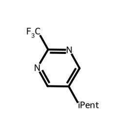 CCCC(C)c1cnc(C(F)(F)F)nc1